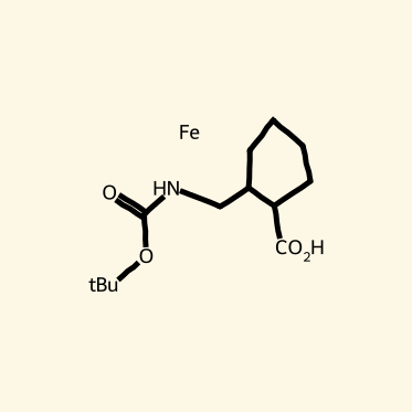 CC(C)(C)OC(=O)NCC1CCCCC1C(=O)O.[Fe]